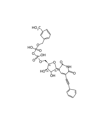 O=C(O)c1cccc(COP(=O)(O)OP(=O)(O)OC[C@H]2O[C@@H](n3cc(C#Cc4ccccc4)c(=O)[nH]c3=O)C(O)[C@H]2O)c1